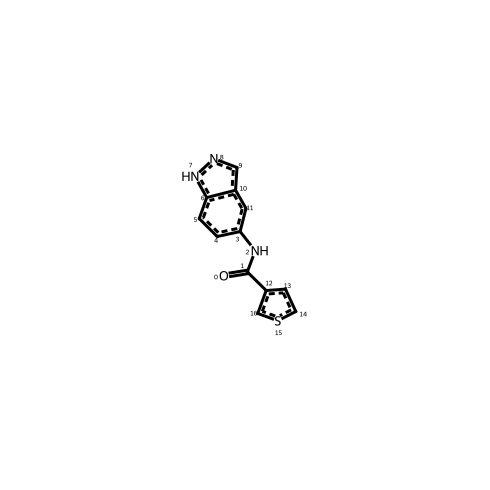 O=C(Nc1ccc2[nH]ncc2c1)c1ccsc1